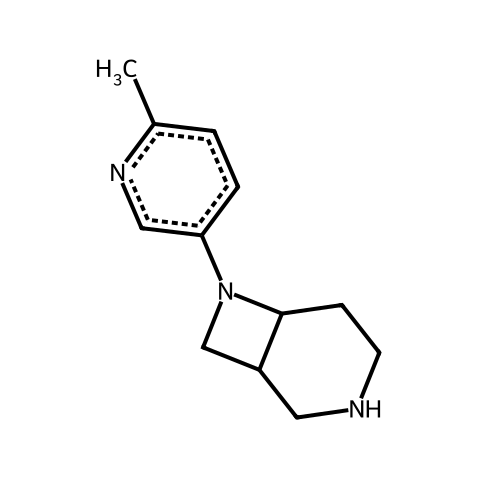 Cc1ccc(N2CC3CNCCC32)cn1